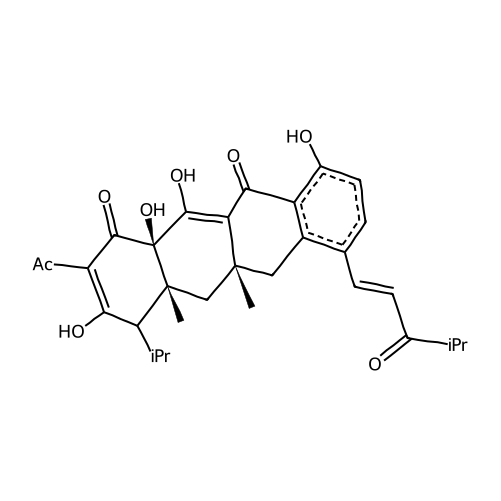 CC(=O)C1=C(O)C(C(C)C)[C@@]2(C)C[C@@]3(C)Cc4c(/C=C/C(=O)C(C)C)ccc(O)c4C(=O)C3=C(O)[C@@]2(O)C1=O